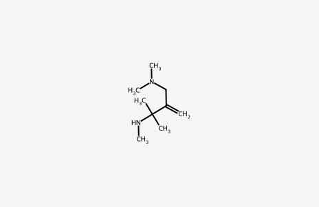 C=C(CN(C)C)C(C)(C)NC